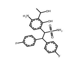 CC(O)c1c(N)ccc(C(C(c2ccc(F)cc2)c2ccc(F)cc2)S(N)(=O)=O)c1O